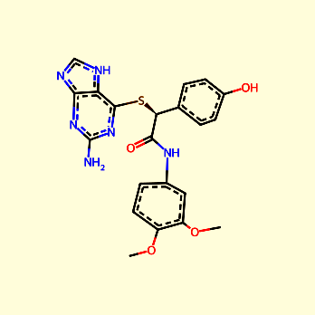 COc1ccc(NC(=O)[C@@H](Sc2nc(N)nc3nc[nH]c23)c2ccc(O)cc2)cc1OC